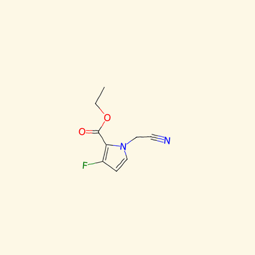 CCOC(=O)c1c(F)ccn1CC#N